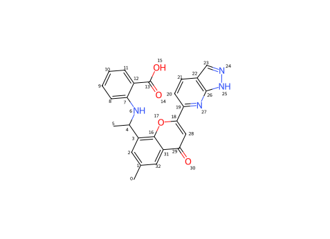 Cc1cc(C(C)Nc2ccccc2C(=O)O)c2oc(-c3ccc4cn[nH]c4n3)cc(=O)c2c1